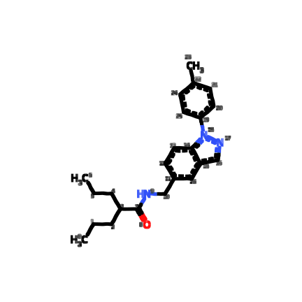 CCCC(CCC)C(=O)NCc1ccc2c(cnn2-c2ccc(C)cc2)c1